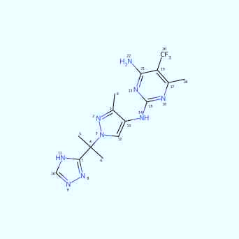 Cc1nn(C(C)(C)c2nnc[nH]2)cc1Nc1nc(C)c(C(F)(F)F)c(N)n1